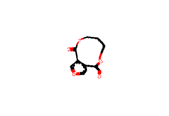 O=C1OCCCOC(=O)c2cocc21